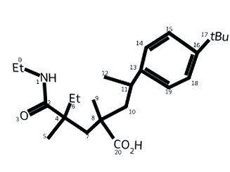 CCNC(=O)C(C)(CC)CC(C)(CC(C)c1ccc(C(C)(C)C)cc1)C(=O)O